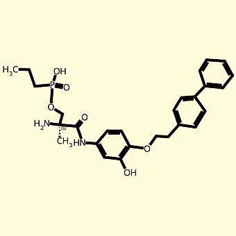 CCCP(=O)(O)OC[C@](C)(N)C(=O)Nc1ccc(OCCc2ccc(-c3ccccc3)cc2)c(O)c1